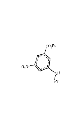 CCOC(=O)c1cc(NC(C)C)cc([N+](=O)[O-])c1